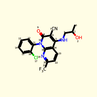 CC(O)CNc1c(C#N)c(=O)n(-c2ccccc2Cl)c2nc(C(F)(F)F)ccc12